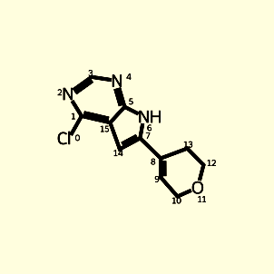 Clc1ncnc2[nH]c(C3=CCOCC3)cc12